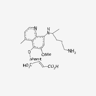 CCCCCOc1c(OC)cc(NC(C)CCCN)c2nccc(C)c12.O=C(O)C=CC(=O)O